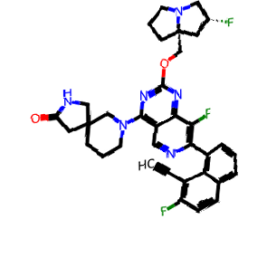 C#Cc1c(F)ccc2cccc(-c3ncc4c(N5CCCC6(CNC(=O)C6)C5)nc(OC[C@@]56CCCN5C[C@H](F)C6)nc4c3F)c12